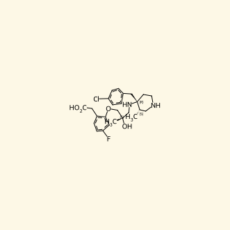 C[C@H]1CNCC[C@@]1(Cc1ccc(Cl)cc1)NC[C@](C)(O)COc1cc(F)ccc1CC(=O)O